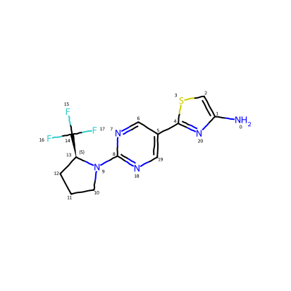 Nc1csc(-c2cnc(N3CCC[C@H]3C(F)(F)F)nc2)n1